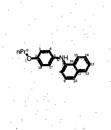 CCCOc1ccc(Nc2cccc3ccccc23)cc1